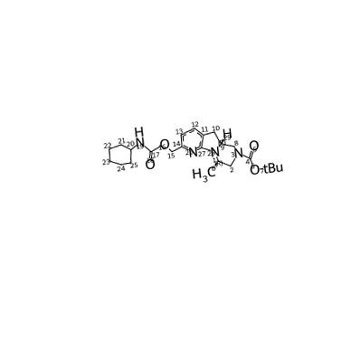 C[C@@H]1CN(C(=O)OC(C)(C)C)C[C@H]2Cc3ccc(COC(=O)NC4CCCCC4)nc3N21